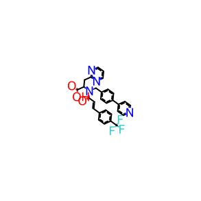 O=C(O)C(Cc1ncccn1)N(Cc1ccc(-c2ccncc2)cc1)C(=O)C=Cc1ccc(C(F)(F)F)cc1